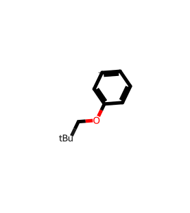 CC(C)(C)COc1c[c]ccc1